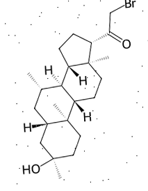 C[C@H]1C[C@H]2C[C@](C)(O)CC[C@]2(C)[C@H]2CC[C@]3(C)[C@@H](C(=O)CBr)CC[C@H]3[C@H]12